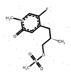 C[C@H](COS(C)(=O)=O)Cc1cc(=O)n(C)cc1F